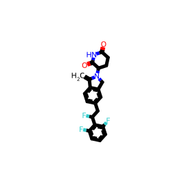 C=C1c2ccc(CC(F)c3c(F)cccc3F)cc2CN1C1CCC(=O)NC1=O